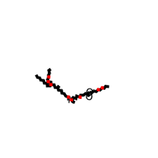 C=C(CCCCCCCN(CC)CCCCCCCC(=O)OCCCCCCCCC)CCc1ccc(CCCCCC)c(CCCCCC)c1